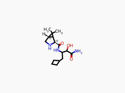 CC1(C)C2[C@@H](C(=O)NC(CC3CCC3)C(O)C(N)=O)NC[C@@H]21